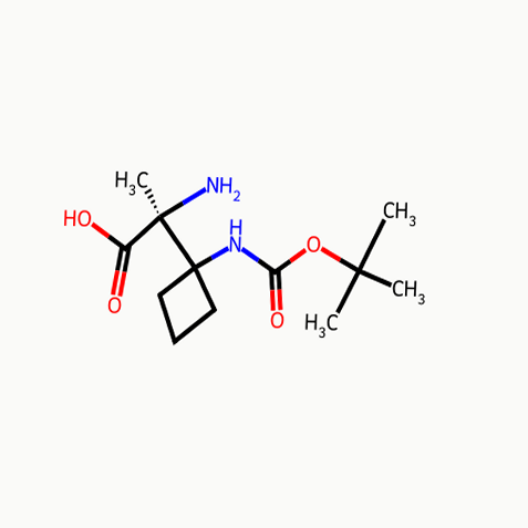 CC(C)(C)OC(=O)NC1([C@](C)(N)C(=O)O)CCC1